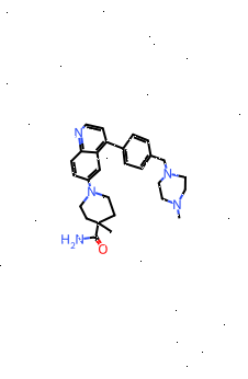 CN1CCN(Cc2ccc(-c3ccnc4ccc(N5CCC(C)(C(N)=O)CC5)cc34)cc2)CC1